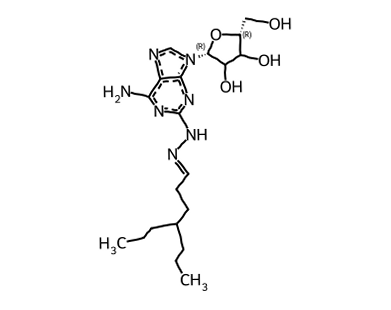 CCCC(CCC)CCC=NNc1nc(N)c2ncn([C@@H]3O[C@H](CO)C(O)C3O)c2n1